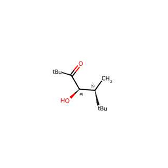 C[C@H]([C@@H](O)C(=O)C(C)(C)C)C(C)(C)C